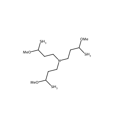 COC([SiH3])CCN(CCC([SiH3])OC)CCC([SiH3])OC